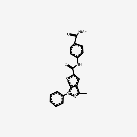 CNC(=O)c1ccc(NC(=O)c2cc3c(C)nn(-c4ccccc4)c3s2)cc1